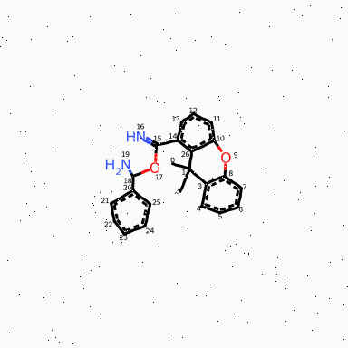 CC1(C)c2ccccc2Oc2cccc(C(=N)OC(N)c3ccccc3)c21